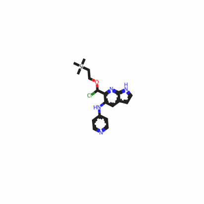 C[Si](C)(C)CCOC(Cl)c1nc2[nH]ccc2cc1Nc1ccncc1